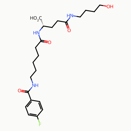 O=C(CC[C@H](NC(=O)CCCCCNC(=O)c1ccc(F)cc1)C(=O)O)NCCCCO